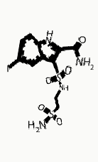 NC(=O)c1[nH]c2ccc(I)cc2c1S(=O)(=O)NCCS(N)(=O)=O